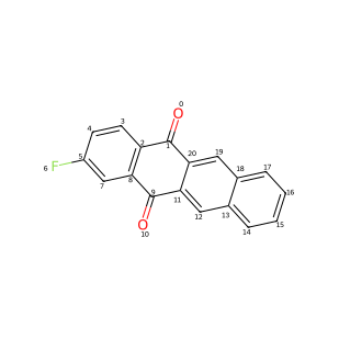 O=C1c2ccc(F)cc2C(=O)c2cc3ccccc3cc21